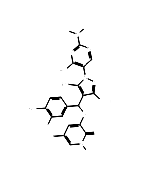 CCOC(=O)c1nn(-c2cnc(N(C)C)nc2OC)c(C(C)C)c1C(Nc1cc(Cl)cn(C)c1=O)c1ccc(C#N)c(F)c1